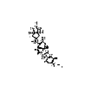 Cc1ccc(S(=O)(=O)n2ccc3c(NC4C[C@H]5CNC[C@H]5C4)c(Br)cnc32)cc1